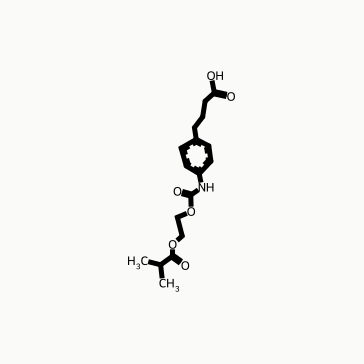 CC(C)C(=O)OCCOC(=O)Nc1ccc(CCCC(=O)O)cc1